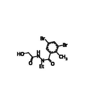 CCN(NC(=O)CO)C(=O)c1cc(Br)cc(Br)c1C